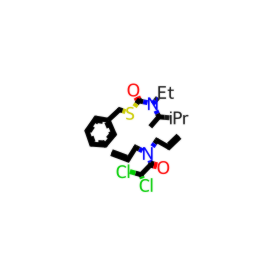 C=CCN(CC=C)C(=O)C(Cl)Cl.CCN(C(=O)SCc1ccccc1)C(C)C(C)C